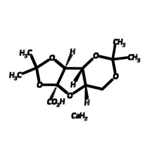 CC1(C)OC[C@@H]2O[C@@]3(C(=O)O)OC(C)(C)O[C@H]3[C@@H]2O1.[CaH2]